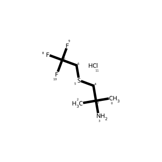 CC(C)(N)CSCC(F)(F)F.Cl